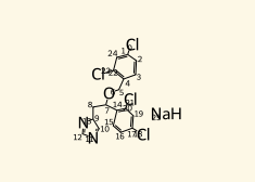 Clc1ccc(COC(CC2C=NC=N2)c2ccc(Cl)cc2Cl)c(Cl)c1.[NaH]